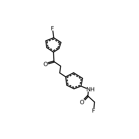 O=C(CF)Nc1ccc(CCC(=O)c2ccc(F)cc2)cc1